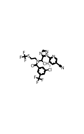 CC(c1ncnn1-c1ccc(C#N)cn1)N(CCSC(F)(F)F)C(=O)c1cc(Cl)cc(C(F)(F)F)c1